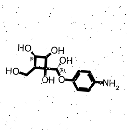 Nc1ccc(O[C@@H](O)C2(O)C(O)[C@H](O)C2CO)cc1